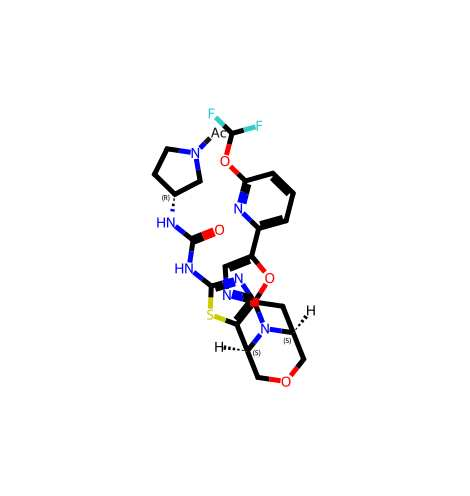 CC(=O)N1CC[C@@H](NC(=O)Nc2nc3c(s2)[C@@H]2COC[C@H](C3)N2c2ncc(-c3cccc(OC(F)F)n3)o2)C1